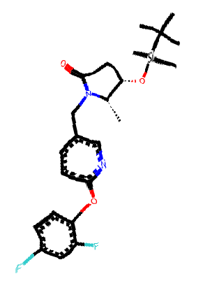 C[C@H]1[C@@H](O[Si](C)(C)C(C)(C)C)CC(=O)N1Cc1ccc(Oc2ccc(F)cc2F)nc1